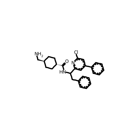 NC[C@H]1CC[C@H](C(=O)NC(Cc2ccccc2)c2cc(-c3ccccc3)cc(Cl)n2)CC1